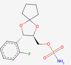 NS(=O)(=O)OC[C@@H]1OC2(CCCC2)O[C@H]1c1ccccc1F